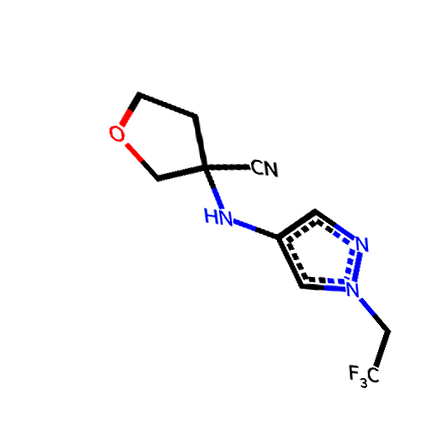 N#CC1(Nc2cnn(CC(F)(F)F)c2)CCOC1